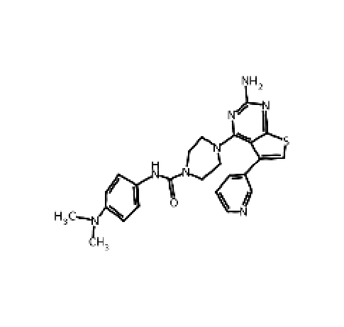 CN(C)c1ccc(NC(=O)N2CCN(c3nc(N)nc4scc(-c5cccnc5)c34)CC2)cc1